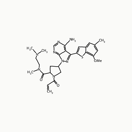 C=CC(=O)N1CC(n2nc(-c3cc4cc(C)cc(OC)c4s3)c3c(N)ncnc32)CC1C(=O)N(C)CCN(C)C